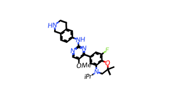 COc1cnc(Nc2ccc3c(c2)CCNC3)nc1-c1cc(F)c2c(c1)N(C(C)C)CC(C)(C)O2